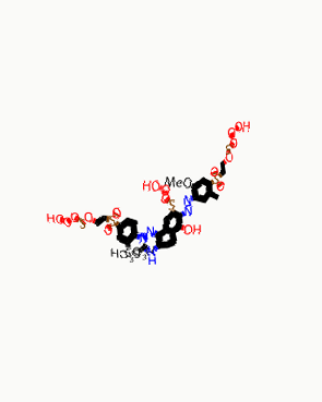 COc1cc(S(=O)(=O)CCOSOOO)c(C)cc1/N=N/c1c(SOOO)cc2c(/N=N/c3ccc(S(=O)(=O)CCOSOOO)cc3S(=O)(=O)O)c(NCS(=O)(=O)O)ccc2c1O